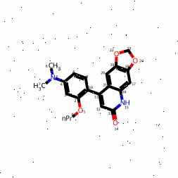 CCCOc1cc(N(C)C)ccc1-c1cc(=O)[nH]c2cc3c(cc12)OCO3